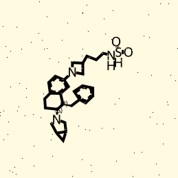 O=[SH](=O)NCCCC1CN(c2ccc3c(c2)[C@@H](Cc2ccccc2)[C@@H](N2CC4CC4C2)CC3)C1